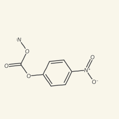 [N]OC(=O)Oc1ccc([N+](=O)[O-])cc1